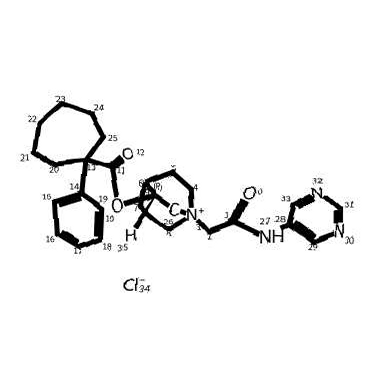 O=C(C[N+]12CCC(CC1)[C@@H](OC(=O)C1(c3ccccc3)CCCCCC1)C2)Nc1cncnc1.[Cl-]